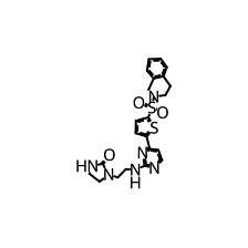 O=C1NCCN1CCNc1nccc(-c2ccc(S(=O)(=O)N3CCc4ccccc4C3)s2)n1